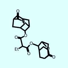 CCC(C(=O)OC1C2CC3CC(C2)C(=O)OC1C3)C(=O)OC1C2CC3CC(C2)C(=O)OC1C3